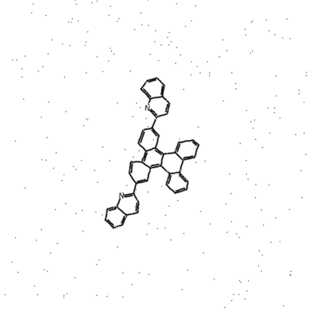 c1ccc2nc(-c3ccc4c5ccc(-c6ccc7ccccc7n6)cc5c5c6ccccc6c6ccccc6c5c4c3)ccc2c1